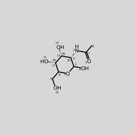 CC(=O)N[C@@H]1C(O)OC(CO)[C@H](O)[C@@H]1O